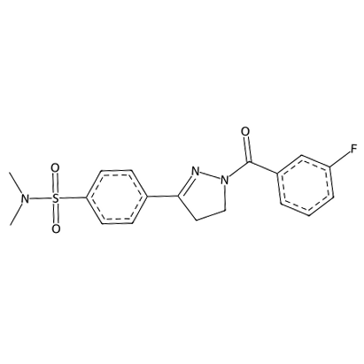 CN(C)S(=O)(=O)c1ccc(C2=NN(C(=O)c3cccc(F)c3)CC2)cc1